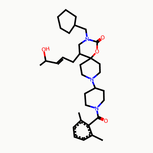 Cc1cccc(C)c1C(=O)N1CCC(N2CCC3(CC2)OC(=O)N(CC2CCCCC2)CC3C/C=C/C(C)O)CC1